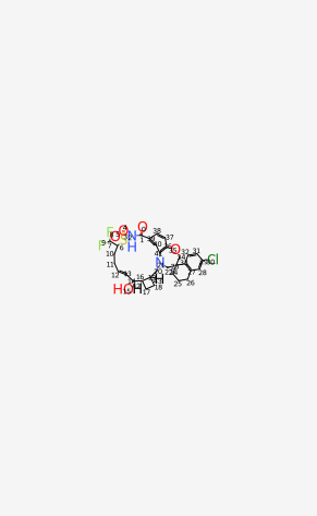 O=C1NS(=O)(=O)C(C(F)F)CC/C=C/[C@H](O)[C@@H]2CC[C@H]2CN2C[C@@]3(CCCc4cc(Cl)ccc43)COc3ccc1cc32